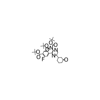 CC(C)(C)OC(=O)c1ccc(-c2nc(C3CCCC(=O)C3)cnc2N(C(=O)OC(C)(C)C)C(=O)OC(C)(C)C)cc1F